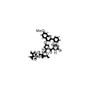 C=CC1CC1(NC(=O)C1CC(Oc2cc(-c3ccccc3)nc3cc(OC)ccc23)CN1C(=O)C(NC(=O)OC(C)(C)C)C(C)(C)C)C(=O)NS(=O)(=O)C1(C(=C)C)CC1